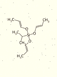 CC=CO[Si](OC=CC)(OC=CC)C(C)C